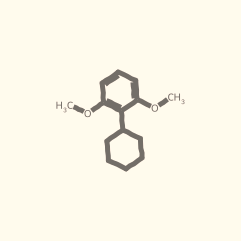 COc1cccc(OC)c1C1CCCCC1